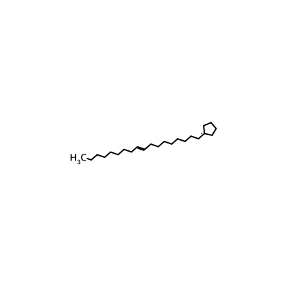 CCCCCCCCC=CCCCCCCCC[C]1CCCC1